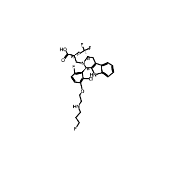 C[C@@H](CN1[C@H](c2c(F)ccc(OCCNCCCF)c2Cl)c2[nH]c3ccccc3c2C[C@H]1C(F)(F)F)C(=O)O